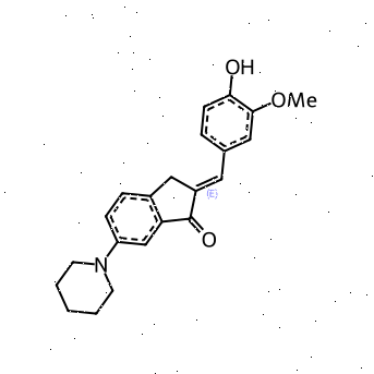 COc1cc(/C=C2\Cc3ccc(N4CCCCC4)cc3C2=O)ccc1O